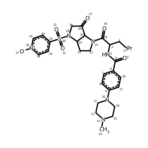 CC(C)CC(NC(=O)c1ccc(N2CCN(C)CC2)cc1)C(=O)N1CCC2C1C(=O)CN2S(=O)(=O)c1cc[n+]([O-])cc1